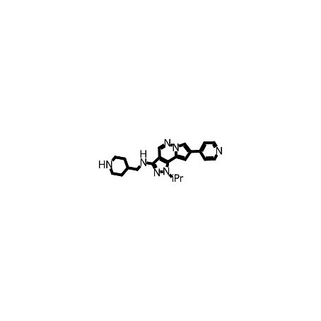 CC(C)n1nc(NCC2CCNCC2)c2cnn3cc(-c4ccncc4)cc3c21